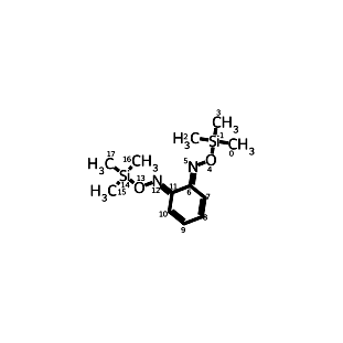 C[Si](C)(C)ON=C1C=CC=CC1=NO[Si](C)(C)C